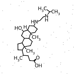 CC(C)NCCNC1CC[C@]2(C)C3CC[C@@]4(C)C(CCC4[C@H](C)CCC(=O)O)C3C[C@@H](O)[C@H]2C1